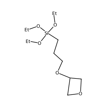 CCO[Si](CCCOC1COC1)(OCC)OCC